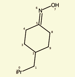 CC(C)CC1CCC(=NO)CC1